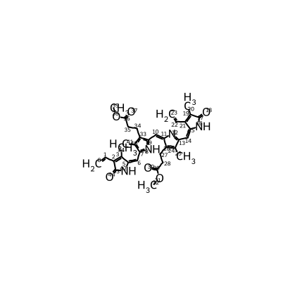 C=CC1=C(C)/C(=C\c2[nH]c(/C=C3N=C(/C=C4/NC(=O)C(C)=C4C=C)C(C)=C/3CCC(=O)OC)c(CCC(=O)OC)c2C)NC1=O